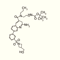 CCCN(CCCNC(=O)OC(C)(C)C)C(=O)C1=Cc2ccc(-c3cccc(S(=O)(=O)N4CC(CO)C4)c3)cc2N=C(N)C1